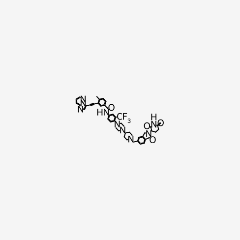 Cc1ccc(C(=O)Nc2ccc(N3CCN(C4CCN(Cc5ccc6c(c5)CN(C5CCC(=O)NC5=O)C6=O)CC4)CC3)c(C(F)(F)F)c2)cc1C#Cc1cnc2cccnn12